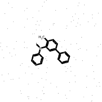 Cc1ccc(-c2ccccc2)cc1N(I)c1ccccc1